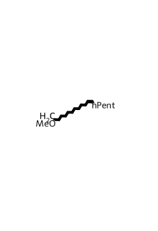 C=C(CCCCCCCCC/C=C\CCCCC)OC